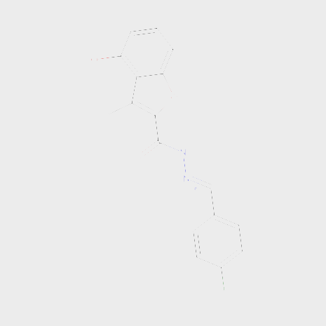 Cc1c(C(=O)N/N=C/c2ccc(F)cc2)oc2cccc(O)c12